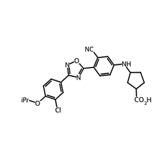 CC(C)Oc1ccc(-c2noc(-c3ccc(NC4CCC(C(=O)O)C4)cc3C#N)n2)cc1Cl